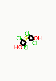 Oc1cc(Cl)c(Sc2cc(Cl)c(O)cc2Cl)cc1Cl